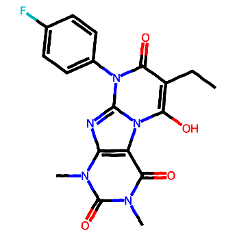 CCc1c(O)n2c3c(=O)n(C)c(=O)n(C)c3nc2n(-c2ccc(F)cc2)c1=O